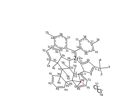 CCCC1C=C(C(C)(C)C)C=[C]1[Zr+2](=[C](c1ccc(C)cc1)c1ccc(C)cc1)[CH]1C2C=CC=C(C)C2(C)C2(C)C3(C)C=CC=CC3(C)C3(C)C=CC=CC3(C)C12C.[Cl-].[Cl-]